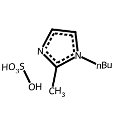 CCCCn1ccnc1C.O=S(=O)(O)O